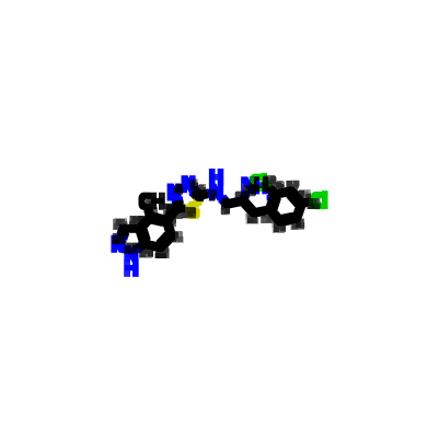 Cc1c(-c2nnc(NCC(N)Cc3ccc(Cl)cc3Cl)s2)ccc2[nH]ncc12